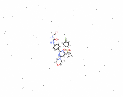 C[C@H](CO)NC(=O)Nc1ccc(-c2nc(N3CCOC[C@@H]3C)cc(C3(S(=O)(=O)c4ccc(F)cc4)CCC3)n2)cc1